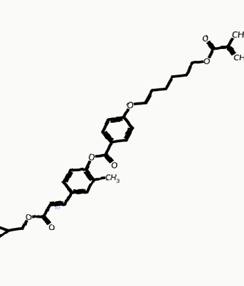 C=C(C)C(=O)OCCCCCCOc1ccc(C(=O)Oc2ccc(/C=C/C(=O)OCC3CC3)cc2C)cc1